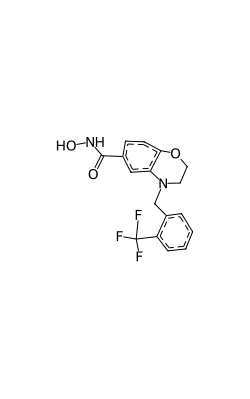 O=C(NO)c1ccc2c(c1)N(Cc1ccccc1C(F)(F)F)CCO2